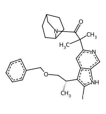 C[C@H](COCc1ccccc1)c1c(I)[nH]c2cnc(C(C)(C)C(=O)N3CC4CCC3CC4)cc12